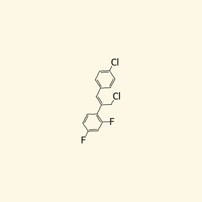 Fc1ccc(/C(=C/c2ccc(Cl)cc2)CCl)c(F)c1